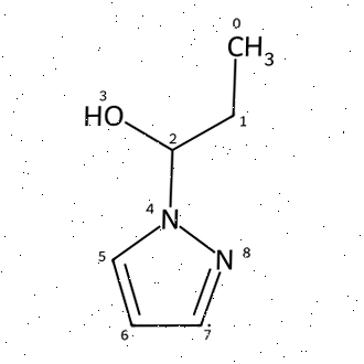 CCC(O)n1cc[c]n1